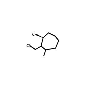 CC1CCCC[C@H](Cl)C1CCl